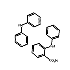 O=C(O)c1ccccc1Nc1ccccc1.c1ccc(Nc2ccccc2)cc1